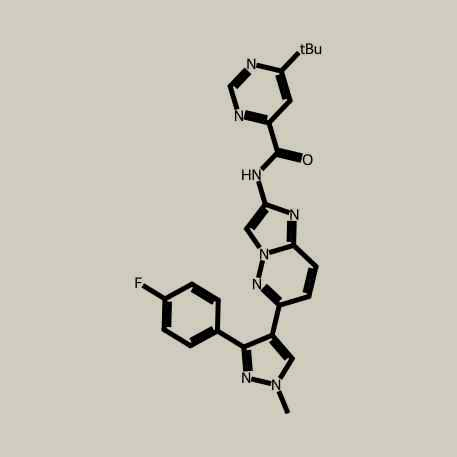 Cn1cc(-c2ccc3nc(NC(=O)c4cc(C(C)(C)C)ncn4)cn3n2)c(-c2ccc(F)cc2)n1